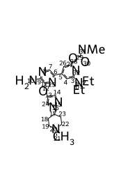 CCN(CC)c1cc(-c2cnc(N)c(Oc3cnn(C4CCN(C)CC4)c3)n2)cc(OC(=O)NC)n1